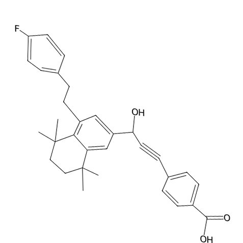 CC1(C)CCC(C)(C)c2c(CCc3ccc(F)cc3)cc(C(O)C#Cc3ccc(C(=O)O)cc3)cc21